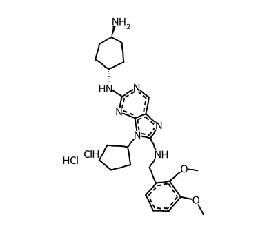 COc1cccc(CNc2nc3cnc(N[C@H]4CC[C@H](N)CC4)nc3n2C2CCCC2)c1OC.Cl.Cl